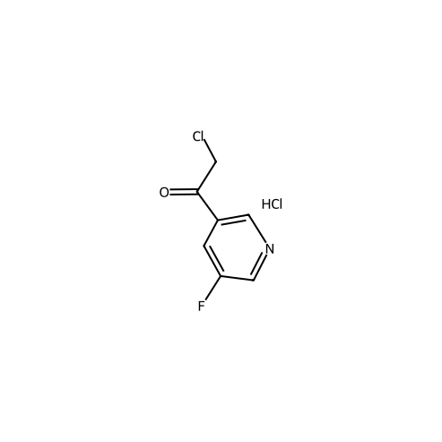 Cl.O=C(CCl)c1cncc(F)c1